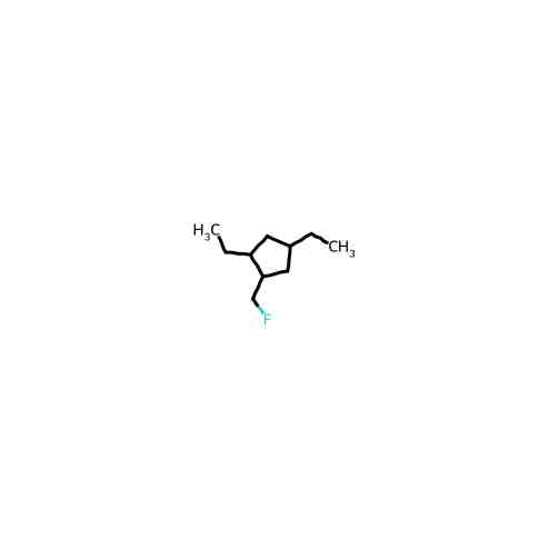 CCC1CC(CC)C(CF)C1